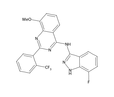 COc1cccc2c(Nc3n[nH]c4c(F)cccc34)nc(-c3ccccc3C(F)(F)F)nc12